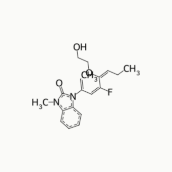 C\C=C(/C=C(F)\C(=C/CC)OCCO)n1c(=O)n(C)c2ccccc21